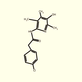 Cc1nc(NC(=O)Cc2ccc(Cl)cc2)c(C)c(C)c1O